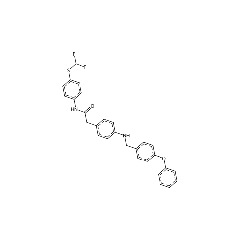 O=C(Cc1ccc(NCc2ccc(Oc3ccccc3)cc2)cc1)Nc1ccc(SC(F)F)cc1